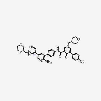 CCc1ccc(-c2cn(CC3CCOCC3)cc(C(=O)Nc3ccc(-c4cc(/C(C=N)=C/NCC5COCCO5)cnc4N)cc3)c2=O)cc1